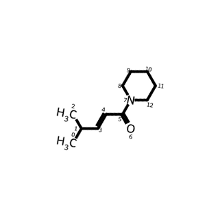 CC(C)C=CC(=O)N1C[CH]CCC1